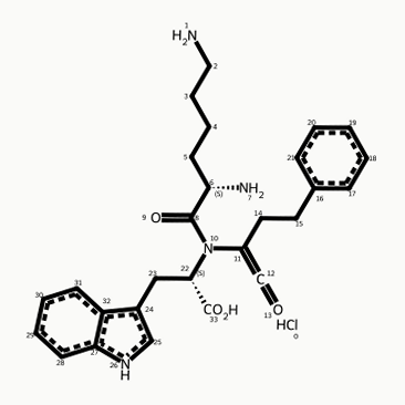 Cl.NCCCC[C@H](N)C(=O)N(C(=C=O)CCc1ccccc1)[C@@H](Cc1c[nH]c2ccccc12)C(=O)O